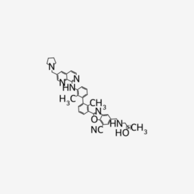 Cc1c(Nc2nccc3cc(CN4CCCC4)cnc23)cccc1-c1cccc(-c2nc3cc(CNC[C@H](C)O)cc(C#N)c3o2)c1C